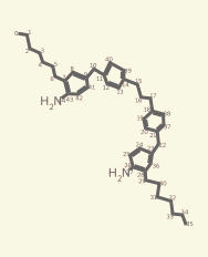 CCCCCCCc1cc(Cc2ccc(CCCc3ccc(Cc4ccc(N)c(CCCCCCC)c4)cc3)cc2)ccc1N